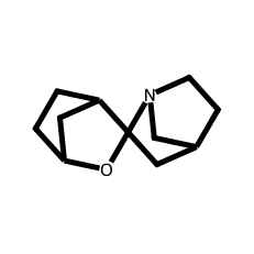 C1CN2CC1CC21OC2CCC1C2